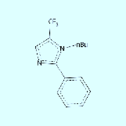 CCCCn1c(C(F)(F)F)cnc1-c1ccccc1